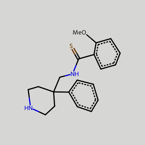 COc1ccccc1C(=S)NCC1(c2ccccc2)CCNCC1